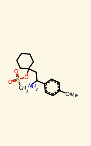 COc1ccc(C(N)CC2(OS(C)(=O)=O)CCCCC2)cc1